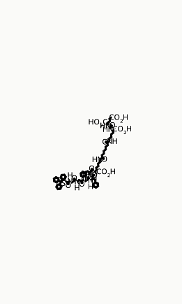 O=C(O)CC[C@H](NC(=O)N[C@@H](CCCCNC(=O)CCCCCCC(=O)NCCCCC(NC(=O)C(Cc1ccccc1)NC(=O)C(Cc1ccccc1)NC(=O)CNC(=O)CNC(=O)CNC(=O)CSC(c1ccccc1)(c1ccccc1)c1ccccc1)C(=O)O)C(=O)O)C(=O)O